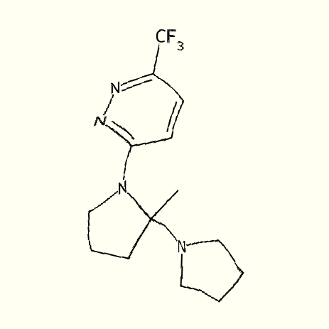 CC1(N2CCCC2)CCCN1c1ccc(C(F)(F)F)nn1